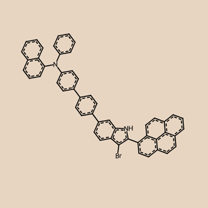 Brc1c(-c2ccc3ccc4cccc5ccc2c3c45)[nH]c2cc(-c3ccc(-c4ccc(N(c5ccccc5)c5cccc6ccccc56)cc4)cc3)ccc12